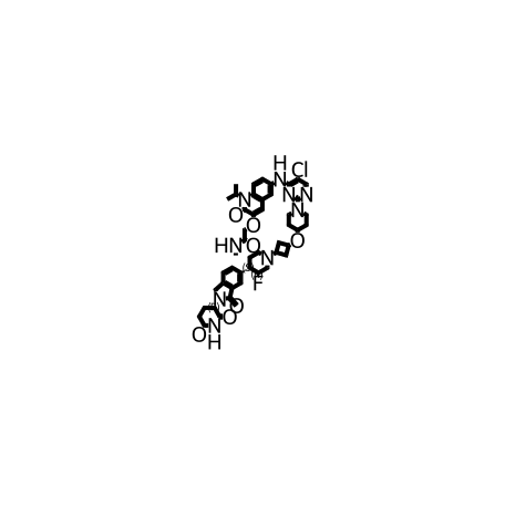 CNC(=O)COc1cc2cc(Nc3nc(N4CCC(OC5CC(N6CC[C@@H](c7ccc8c(c7)C(=O)N([C@@H]7CCC(=O)NC7=O)C8)[C@@H](F)C6)C5)CC4)ncc3Cl)ccc2n(C(C)C)c1=O